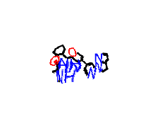 CCC(C(=N)C(=O)C(NC(=O)C(C)NC)C1CCCCC1)c1ccnc(N2CCc3cccnc32)c1